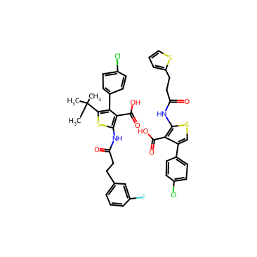 CC(C)(C)c1sc(NC(=O)CCc2cccc(F)c2)c(C(=O)O)c1-c1ccc(Cl)cc1.O=C(CCc1cccs1)Nc1scc(-c2ccc(Cl)cc2)c1C(=O)O